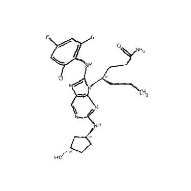 CCC[C@H](CCC(N)=O)n1c(Nc2c(Cl)cc(F)cc2Cl)nc2cnc(N[C@H]3CC[C@H](O)C3)nc21